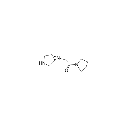 C1CCNC1.[C-]#[N+]CC(=O)N1CCCC1